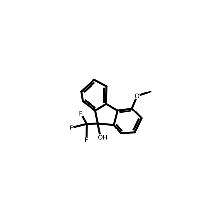 COc1cccc2c1-c1ccccc1C2(O)C(F)(F)F